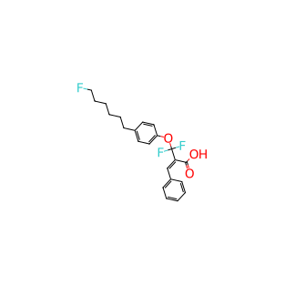 O=C(O)/C(=C\c1ccccc1)C(F)(F)Oc1ccc(CCCCCCF)cc1